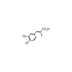 O=C(O)C(F)=Cc1ccc(Cl)c(Cl)c1